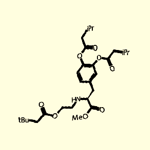 COC(=O)[C@H](Cc1ccc(OC(=O)CC(C)C)c(OC(=O)CC(C)C)c1)NCCOC(=O)CC(C)(C)C